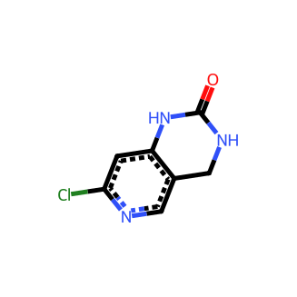 O=C1NCc2cnc(Cl)cc2N1